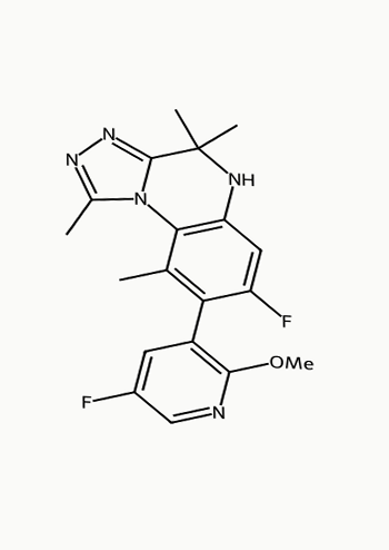 COc1ncc(F)cc1-c1c(F)cc2c(c1C)-n1c(C)nnc1C(C)(C)N2